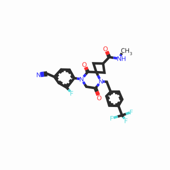 CNC(=O)C1CC2(C1)C(=O)N(c1ccc(C#N)cc1F)CC(=O)N2Cc1ccc(C(F)(F)F)cc1